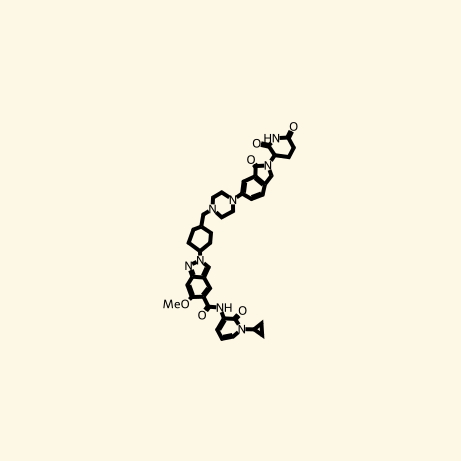 COc1cc2nn(C3CCC(CN4CCN(c5ccc6c(c5)C(=O)N(C5CCC(=O)NC5=O)C6)CC4)CC3)cc2cc1C(=O)Nc1cccn(C2CC2)c1=O